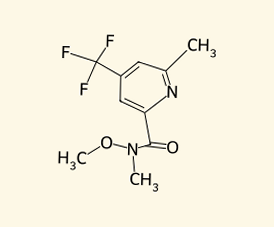 CON(C)C(=O)c1cc(C(F)(F)F)cc(C)n1